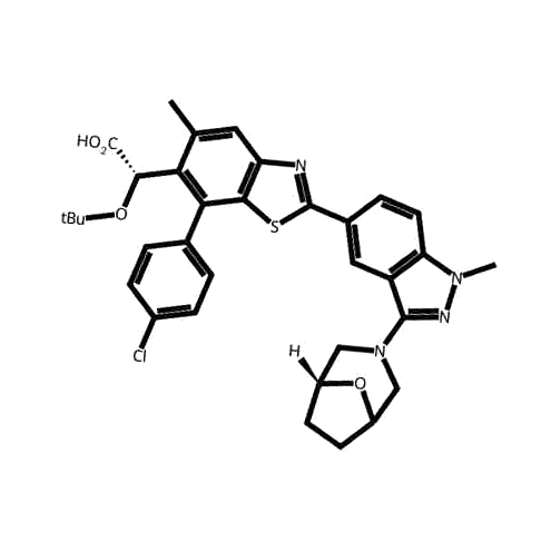 Cc1cc2nc(-c3ccc4c(c3)c(N3CC5CC[C@H](C3)O5)nn4C)sc2c(-c2ccc(Cl)cc2)c1[C@H](OC(C)(C)C)C(=O)O